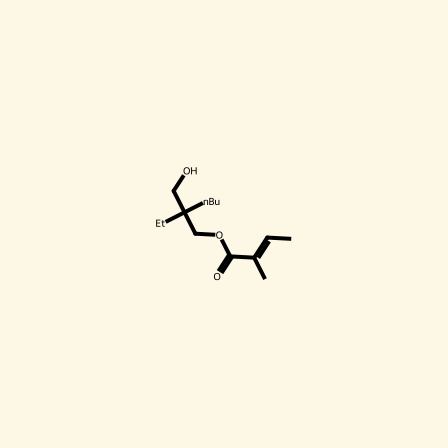 CC=C(C)C(=O)OCC(CC)(CO)CCCC